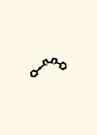 C(#Cc1ccc(-c2ccc(-c3ccccc3)s2)s1)c1ccccc1